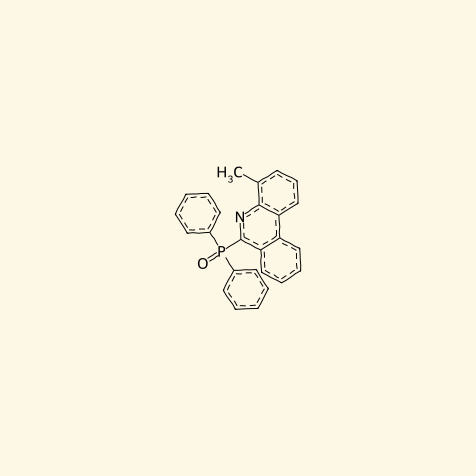 Cc1cccc2c1nc(P(=O)(c1ccccc1)c1ccccc1)c1ccccc12